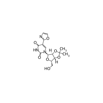 CC1(C)O[C@H]2[C@H](O1)[C@@H](CO)O[C@H]2n1cc(-c2ncco2)c(=O)[nH]c1=O